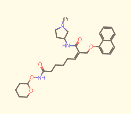 CC(C)N1CCC(NC(=O)C(=CCCCCC(=O)NOC2CCCCO2)COc2cccc3ccccc23)C1